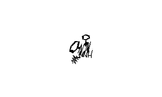 [N-]=[N+]=NCN1NN=C(c2ccccc2)N1c1ccccc1